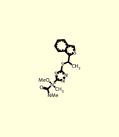 CNC(=O)[N+](C)(OC)c1nnc(SC(C)c2scc3ccccc23)s1